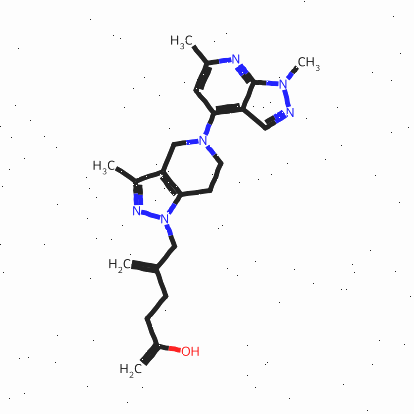 C=C(O)CCC(=C)Cn1nc(C)c2c1CCN(c1cc(C)nc3c1cnn3C)C2